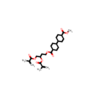 C=C(C)C(=O)OCC(CCOC(=O)C1CCC(C2CCC(C(=O)OC)CC2)CC1)OC(=O)C(=C)C